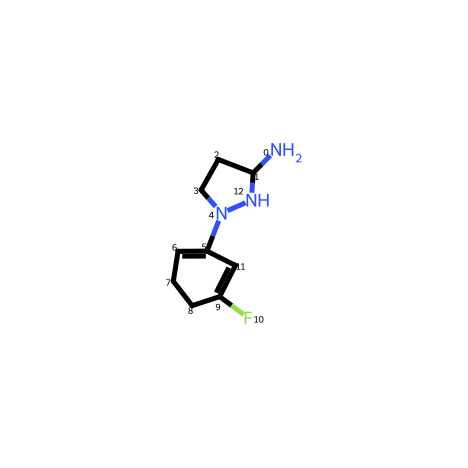 NC1CCN(C2=CCCC(F)=C2)N1